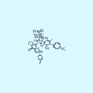 [2H]c1c([2H])c(C([2H])([2H])N(C(=O)Cn2c(SC([2H])([2H])c3ccc(F)cc3)nc(=O)c3c2CCC3)C([2H])([2H])C([2H])([2H])N(CC)CC)c([2H])c(C)c1-c1ccc(C(F)(F)F)cc1